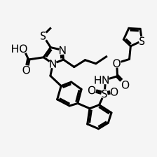 CCCCc1nc(SC)c(C(=O)O)n1Cc1ccc(-c2ccccc2S(=O)(=O)NC(=O)OCc2cccs2)cc1